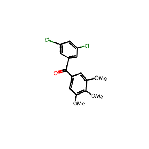 COc1cc(C(=O)c2cc(Cl)cc(Cl)c2)cc(OC)c1OC